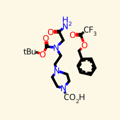 CC(C)(C)OC(=O)N(CCN1CCN(C(=O)O)CC1)CC(N)=O.O=C(OCc1ccccc1)C(F)(F)F